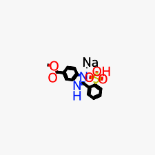 COC(=O)c1ccc2nc(-c3ccccc3S(=O)(=O)O)[nH]c2c1.[Na]